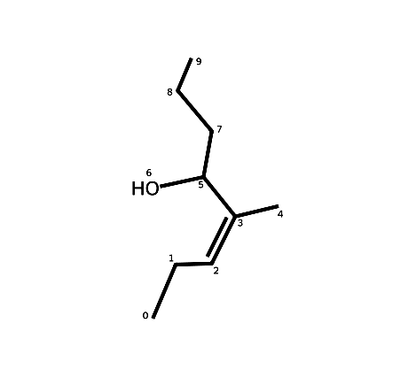 CCC=C(C)C(O)CCC